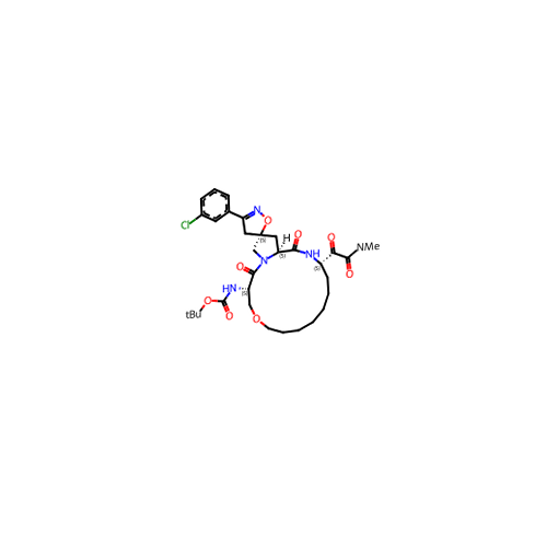 CNC(=O)C(=O)[C@@H]1CCCCCCCOC[C@H](NC(=O)OC(C)(C)C)C(=O)N2C[C@@]3(CC(c4cccc(Cl)c4)=NO3)C[C@H]2C(=O)N1